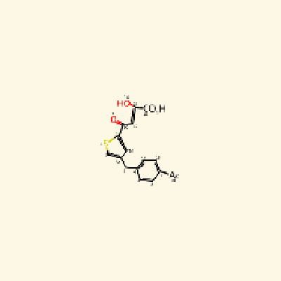 CC(=O)c1ccc(Cc2csc(C(=O)/C=C(\O)C(=O)O)c2)cc1